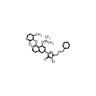 CCn1c(COCc2ccccc2)nn(-c2cc(O[C@@H](C)C(F)(F)F)c3c(Oc4c(C)ccnc4Cl)nccc3c2)c1=O